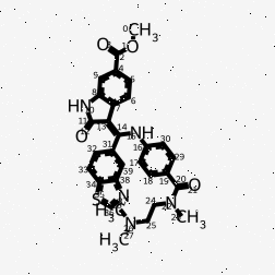 COC(=O)c1ccc2c(c1)NC(=O)C2=C(Nc1ccc(C(=O)N(C)CCN(C)C)cc1)c1ccc2scnc2c1